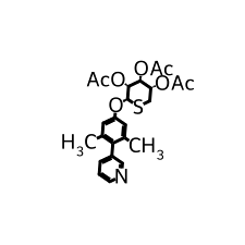 CC(=O)O[C@@H]1[C@@H](OC(C)=O)[C@H](OC(C)=O)CS[C@H]1Oc1cc(C)c(-c2cccnc2)c(C)c1